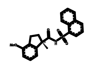 COc1cccc2c1CC[C@@]2(C)C(=O)NS(=O)(=O)c1cccc2ccccc12